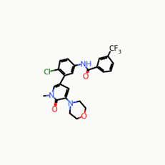 Cn1cc(-c2cc(NC(=O)c3cccc(C(F)(F)F)c3)ccc2Cl)cc(N2CCOCC2)c1=O